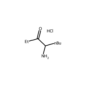 CCCCC(N)C(=O)CC.Cl